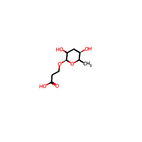 CC1O[C@@H](OCCC(=O)O)C(O)C[C@H]1O